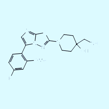 COc1cc(F)ccc1-c1cnc2sc(N3CCC(O)(CN)CC3)nn12